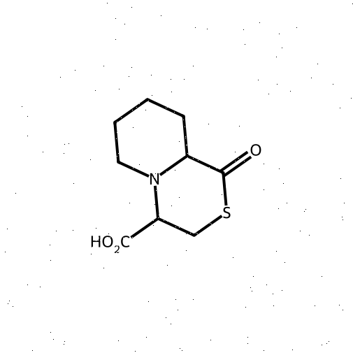 O=C(O)C1CSC(=O)C2CCCCN12